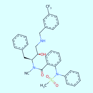 CS(=O)(=O)N(c1ccccc1)c1ccccc1C(=O)N(C#N)[C@@H](Cc1ccccc1)[C@H](O)CNCc1cccc(C(F)(F)F)c1